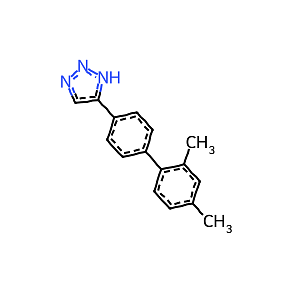 Cc1ccc(-c2ccc(-c3cnn[nH]3)cc2)c(C)c1